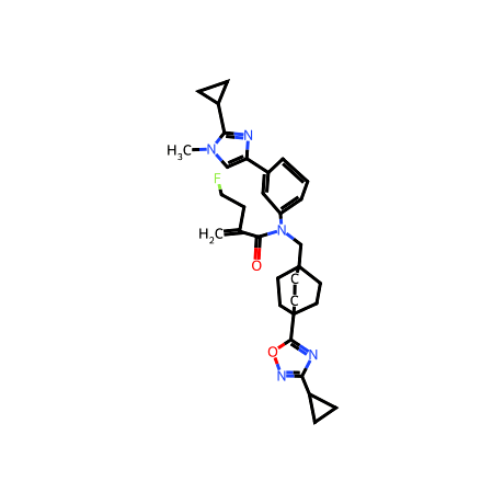 C=C(CCF)C(=O)N(CC12CCC(c3nc(C4CC4)no3)(CC1)CC2)c1cccc(-c2cn(C)c(C3CC3)n2)c1